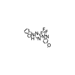 COc1ccc2c(c1)nc(C(F)(F)F)n2-c1cnc(NCc2ccccc2Cl)cn1